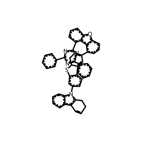 C1=Cc2c(n(-c3ccc4c(c3)SC3CC=C(c5cccc6oc7cccc(-c8nc(-c9ccccc9)nc(-c9ccccc9)n8)c7c56)C=C43)c3ccccc23)CC1